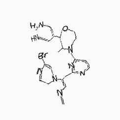 C=N/C=C(/c1nccc(N2CCOC(/C(C=N)=C/N)C2C)n1)N1C=C(Br)N=CC1